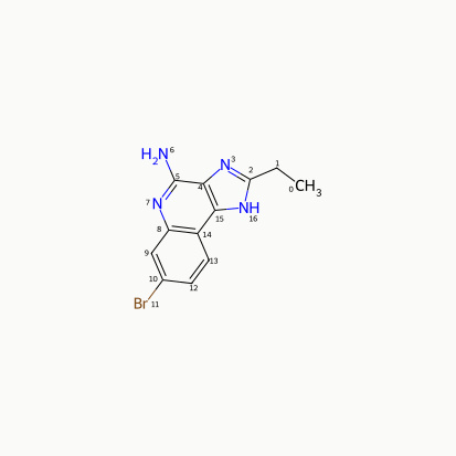 CCc1nc2c(N)nc3cc(Br)ccc3c2[nH]1